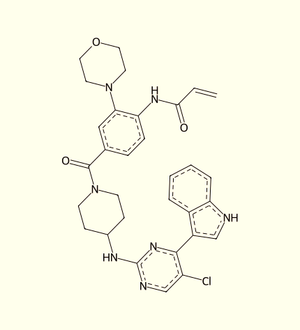 C=CC(=O)Nc1ccc(C(=O)N2CCC(Nc3ncc(Cl)c(-c4c[nH]c5ccccc45)n3)CC2)cc1N1CCOCC1